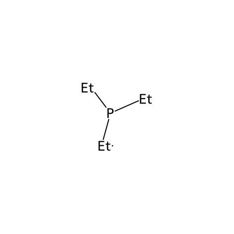 C[CH]P(CC)CC